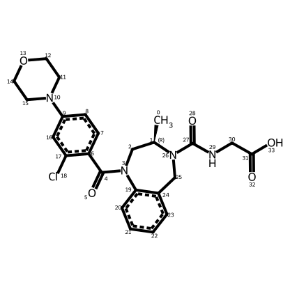 C[C@@H]1CN(C(=O)c2ccc(N3CCOCC3)cc2Cl)c2ccccc2CN1C(=O)NCC(=O)O